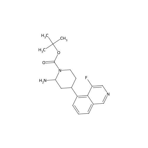 CC(C)(C)OC(=O)N1CCC(c2cccc3cncc(F)c23)CC1N